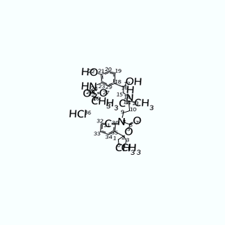 CCC1(CC)OC(=O)N(CCC(C)(C)NCC(O)c2ccc(O)c(NS(C)(=O)=O)c2)c2ccccc21.Cl